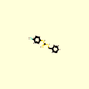 Fc1ccc(SC(=S)SCc2ccccc2)cc1